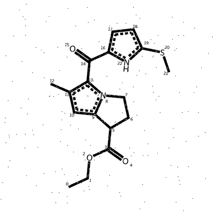 CCOC(=O)C1CCn2c1cc(C)c2C(=O)c1ccc(SC)[nH]1